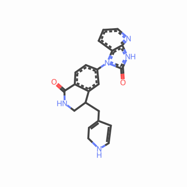 O=C1NCC(CC2=CCNC=C2)c2cc(-n3c(=O)[nH]c4ncccc43)ccc21